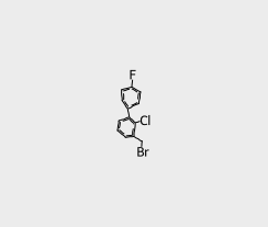 Fc1ccc(-c2cccc(CBr)c2Cl)cc1